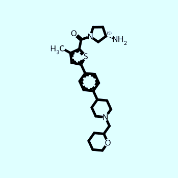 Cc1cc(-c2ccc(C3CCN(CC4CCCCO4)CC3)cc2)sc1C(=O)N1CC[C@H](N)C1